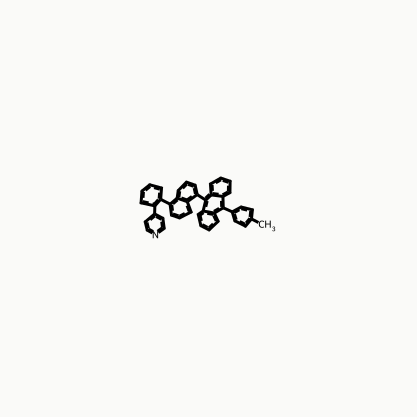 Cc1ccc(-c2c3ccccc3c(-c3cccc4c(-c5ccccc5-c5ccncc5)cccc34)c3ccccc23)cc1